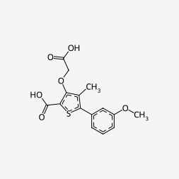 COc1cccc(-c2sc(C(=O)O)c(OCC(=O)O)c2C)c1